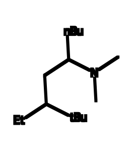 CCCCC(CC(CC)C(C)(C)C)N(C)C